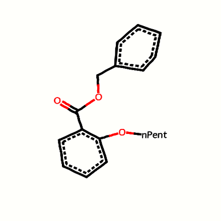 CCCCCOc1ccccc1C(=O)OCc1ccccc1